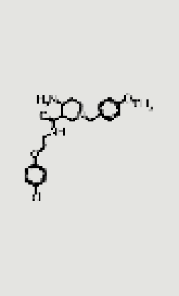 COc1ccc(CN2CCC(N)C(C(=O)NCCOc3ccc(Cl)cc3)C2)cc1